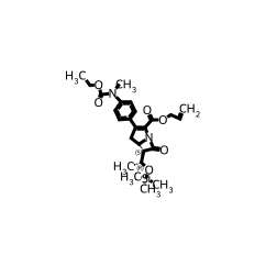 C=CCOC(=O)C1=C(c2ccc(N(C)C(=O)OCC)cc2)CC2[C@@H]([C@@H](C)O[Si](C)(C)C)C(=O)N12